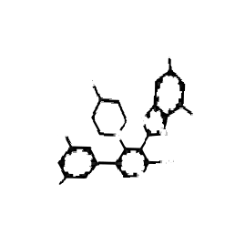 CNc1ncc(-c2cc(C)cc(F)c2)c(N2CCC(N)CC2)c1-c1nc2cc(Cl)cc(F)c2[nH]1